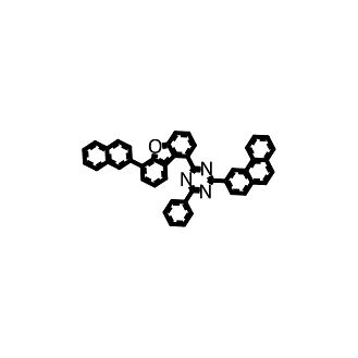 c1ccc(-c2nc(-c3ccc4ccc5ccccc5c4c3)nc(-c3cccc4oc5c(-c6ccc7ccccc7c6)cccc5c34)n2)cc1